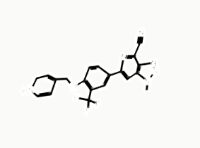 Cn1nnc2c(C#N)nc(-c3ccc(OCC4=CCNC=C4)c(C(F)(F)F)c3)cc21